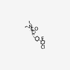 C=CCN(CC=C)C[C@]1(C)C[C@@H](Cc2ccc(-c3cc(Cl)ccc3F)cc2)CC1=O